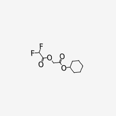 O=C(COC(=O)C(F)F)OC1CCCCC1